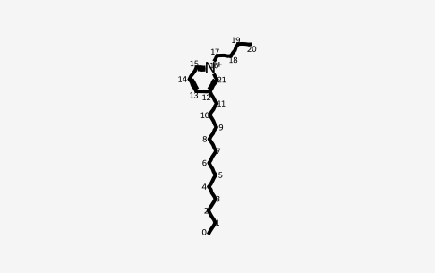 CCCCCCCCCCCCc1ccc[n+](CCCC)c1